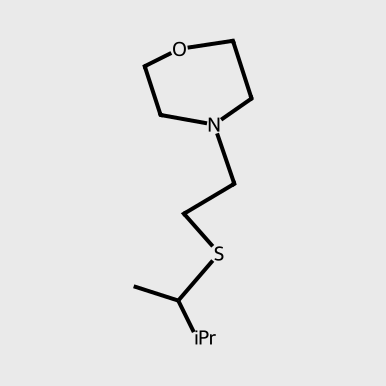 CC(C)C(C)SCCN1CCOCC1